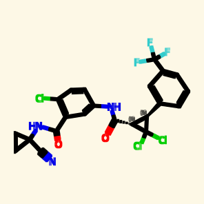 N#CC1(NC(=O)c2cc(NC(=O)[C@@H]3[C@@H](c4cccc(C(F)(F)F)c4)C3(Cl)Cl)ccc2Cl)CC1